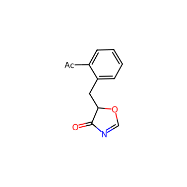 CC(=O)c1ccccc1CC1OC=NC1=O